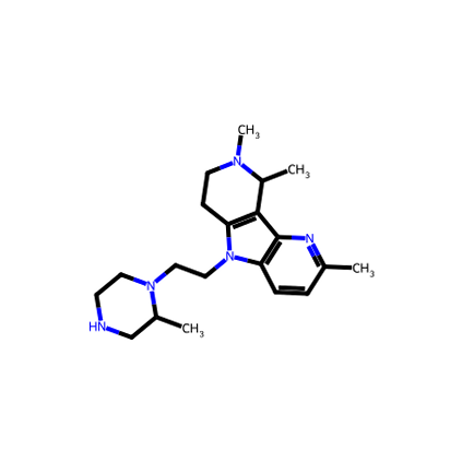 Cc1ccc2c(n1)c1c(n2CCN2CCNCC2C)CCN(C)C1C